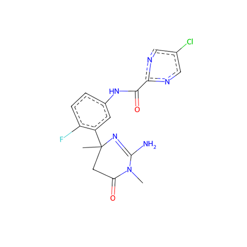 CN1C(=O)CC(C)(c2cc(NC(=O)c3ncc(Cl)cn3)ccc2F)N=C1N